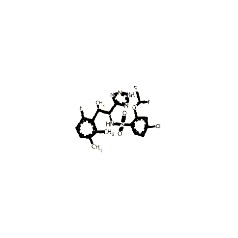 Cc1ccc(F)c([C@@H](C)[C@H](NS(=O)(=O)c2ccc(Cl)cc2OC(F)F)c2nn[nH]n2)c1C